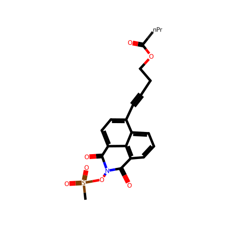 CCCC(=O)OCCC#Cc1ccc2c3c(cccc13)C(=O)N(OS(C)(=O)=O)C2=O